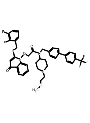 COCCN1CCC(N(Cc2ccc(-c3ccc(C(F)(F)F)cc3)cc2)C(=O)COn2c(SCc3cccc(F)c3F)cc(=O)c3ccccc32)CC1